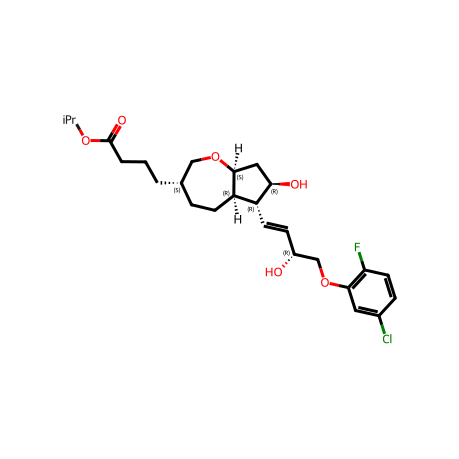 CC(C)OC(=O)CCC[C@H]1CC[C@@H]2[C@@H](C=C[C@@H](O)COc3cc(Cl)ccc3F)[C@H](O)C[C@@H]2OC1